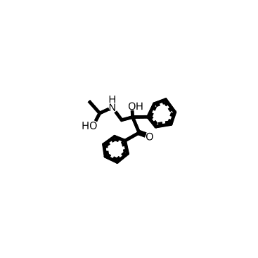 CC(O)NCC(O)(C(=O)c1ccccc1)c1ccccc1